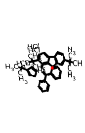 CC(C)(C)C1=CC[C]([Hf](=[C](c2ccccc2)c2ccccc2)[c]2c(C(C)(C)C)ccc3c2Cc2cc(C(C)(C)C)ccc2-3)=C1.Cl.Cl